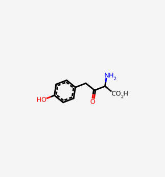 NC(C(=O)O)C(=O)Cc1ccc(O)cc1